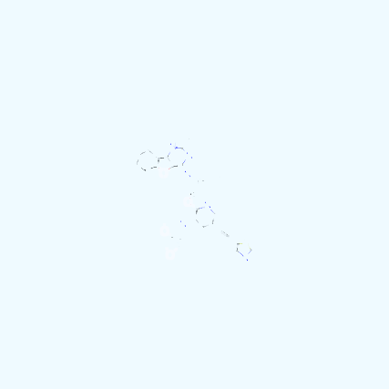 Cc1ncsc1C#Cc1cnc(O[C@H]2C[C@@H](C(=O)O)N(c3nc(C(F)F)nc4c3oc3ccccc34)C2)c(N2CCOC3(COC3)[C@@H]2C)c1